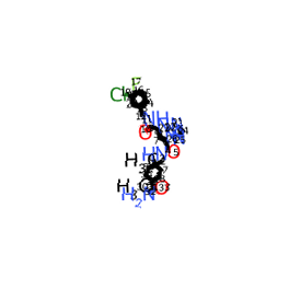 CC1(CNC(=O)c2cc(C(=O)NCc3ccc(F)c(Cl)c3)nc3ncnn23)CCC(C)(C(N)=O)CC1